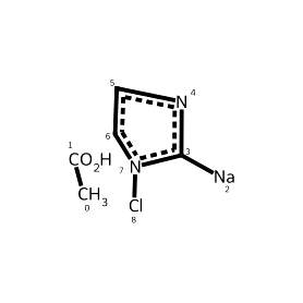 CC(=O)O.[Na][c]1nccn1Cl